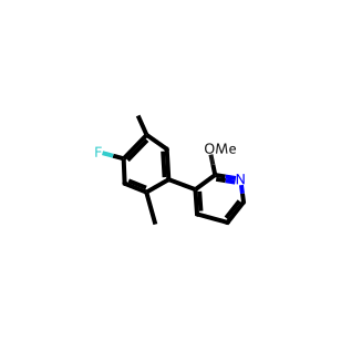 COc1ncccc1-c1cc(C)c(F)cc1C